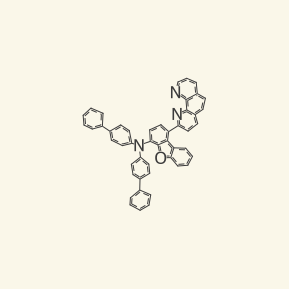 c1ccc(-c2ccc(N(c3ccc(-c4ccccc4)cc3)c3ccc(-c4ccc5ccc6cccnc6c5n4)c4c3oc3ccccc34)cc2)cc1